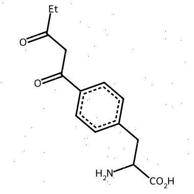 CCC(=O)CC(=O)c1ccc(CC(N)C(=O)O)cc1